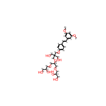 COc1cc(/C=C/c2ccc(OCC(CO)(CO)COC(COCC(O)CO)COCC(O)CO)cc2)cc(OC)c1